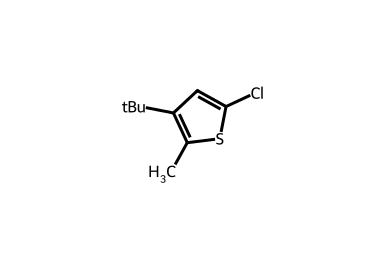 Cc1sc(Cl)cc1C(C)(C)C